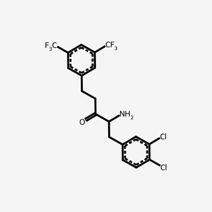 NC(Cc1ccc(Cl)c(Cl)c1)C(=O)CCc1cc(C(F)(F)F)cc(C(F)(F)F)c1